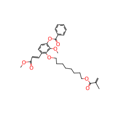 C=C(C)C(=O)OCCCCCCCCOc1c(C=CC(=O)OC)ccc(OC(=O)c2ccccc2)c1OC